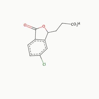 O=C(O)CCC1OC(=O)c2ccc(Cl)cc21